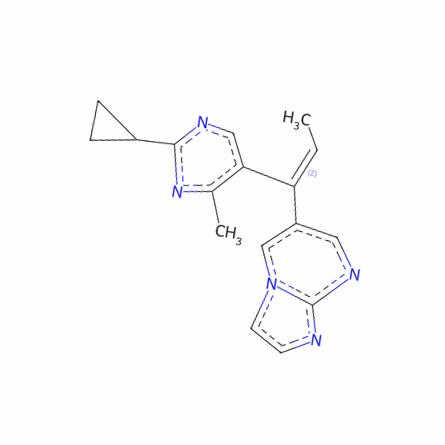 C/C=C(/c1cnc2nccn2c1)c1cnc(C2CC2)nc1C